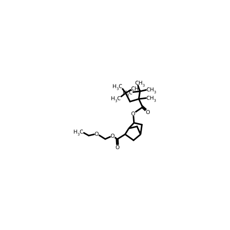 CCOCOC(=O)C1CC2CC(OC(=O)C(C)(CC(C)(C)C)C(C)(C)C)C1C2